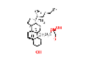 CC(C)CCC[C@@H](C)[C@H]1CC[C@H]2[C@@H]3CC=C4C[C@@H](O)CC[C@]4(C)[C@H]3CC[C@]12C.O=S(=O)(O)O.OCCO